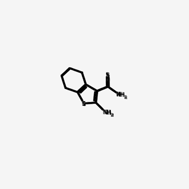 NC(=S)c1c(N)sc2c1CCCC2